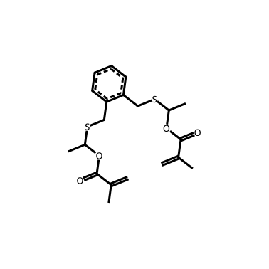 C=C(C)C(=O)OC(C)SCc1ccccc1CSC(C)OC(=O)C(=C)C